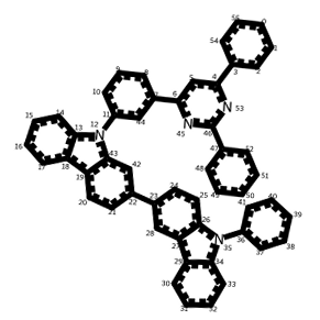 c1ccc(-c2cc(-c3cccc(-n4c5ccccc5c5ccc(-c6ccc7c(c6)c6ccccc6n7-c6ccccc6)cc54)c3)nc(-c3ccccc3)n2)cc1